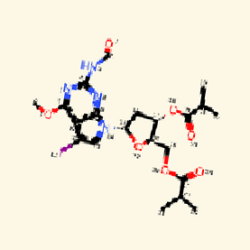 COc1nc(NC=O)nc2c1c(I)cn2[C@@H]1C[C@H](OC(=O)C(C)C)[C@@H](COC(=O)C(C)C)O1